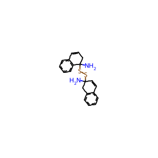 NC1(SSC2(N)CC=Cc3ccccc32)C=Cc2ccccc2C1